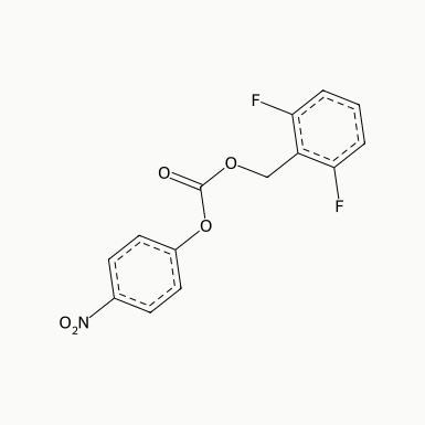 O=C(OCc1c(F)cccc1F)Oc1ccc([N+](=O)[O-])cc1